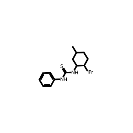 CC1CCC(C(C)C)C(NC(=S)Nc2ccccc2)C1